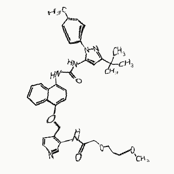 COCCOCC(=O)Nc1cnccc1COc1ccc(NC(=O)Nc2cc(C(C)(C)C)nn2-c2ccc(C)cc2)c2ccccc12